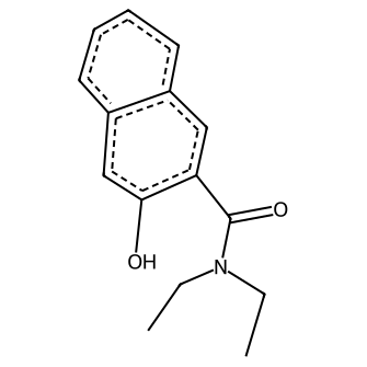 CCN(CC)C(=O)c1cc2ccccc2cc1O